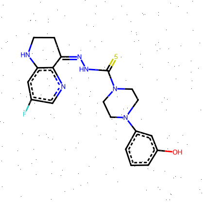 Oc1cccc(N2CCN(C(=S)N/N=C3/CCNc4cc(F)cnc43)CC2)c1